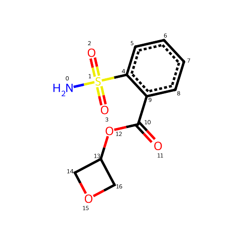 NS(=O)(=O)c1ccccc1C(=O)OC1COC1